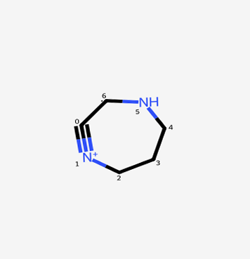 C1#[N+]CCCN[CH]1